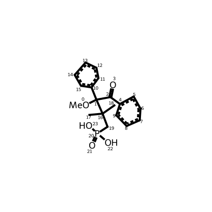 COC(C(=O)c1ccccc1)(c1ccccc1)C(C)(C)CP(=O)(O)O